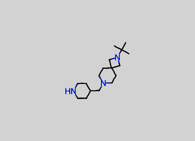 CC(C)(C)N1CC2(CCN(CC3CCNCC3)CC2)C1